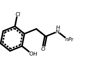 CCCNC(=O)Cc1c(O)cccc1Cl